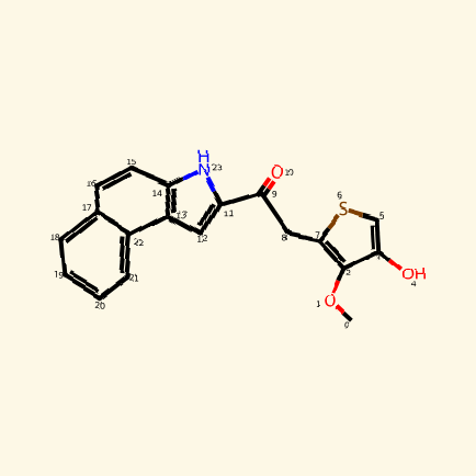 COc1c(O)csc1CC(=O)c1cc2c(ccc3ccccc32)[nH]1